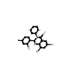 Cc1ccc(-c2nc3c(Cl)cc(Cl)cc3c(=O)n2-c2ccccc2)c(Cl)c1